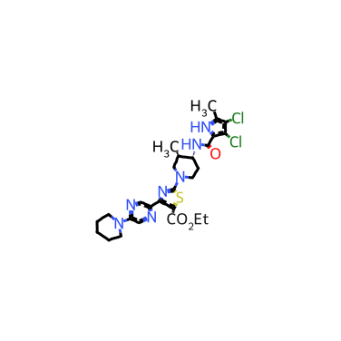 CCOC(=O)c1sc(N2CC[C@@H](NC(=O)c3[nH]c(C)c(Cl)c3Cl)[C@@H](C)C2)nc1-c1cnc(N2CCCCC2)cn1